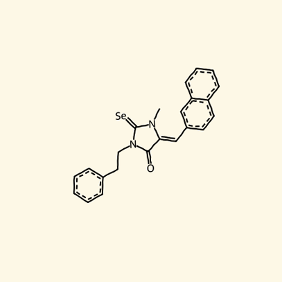 CN1C(=[Se])N(CCc2ccccc2)C(=O)C1=Cc1ccc2ccccc2c1